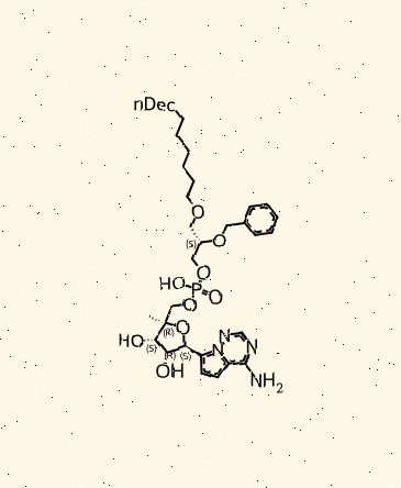 CCCCCCCCCCCCCCCCOC[C@@H](COP(=O)(O)OC[C@@]1(C)O[C@@H](c2ccc3c(N)ncnn23)[C@H](O)[C@@H]1O)OCc1ccccc1